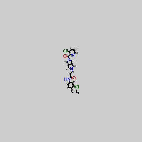 Cc1ccc(NC(=O)CCN2CC3CN(C(=O)c4ncccc4Cl)CC3C2)cc1Cl